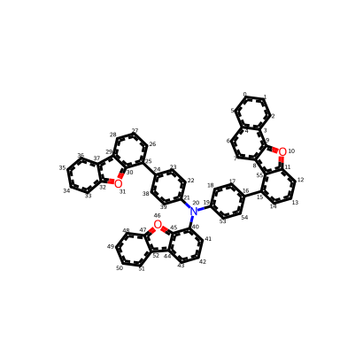 c1ccc2c(c1)ccc1c2oc2cccc(-c3ccc(N(c4ccc(-c5cccc6c5oc5ccccc56)cc4)c4cccc5c4oc4ccccc45)cc3)c21